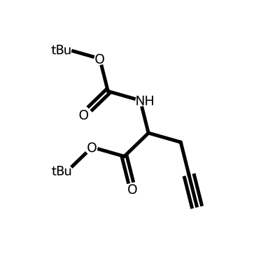 C#CCC(NC(=O)OC(C)(C)C)C(=O)OC(C)(C)C